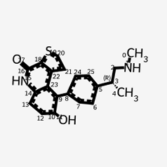 CNC[C@H](C)c1ccc(-c2c(O)ccc3[nH]c(=O)c4sccc4c23)cc1